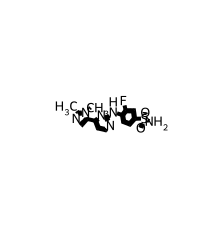 Cc1ncc(-c2ccnc(Nc3ccc(S(N)(=O)=O)cc3F)n2)n1C